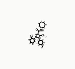 CC1C(C(=O)NN2CCCCCC2)=NN(c2ccccc2Cl)C1c1ccc(I)cc1